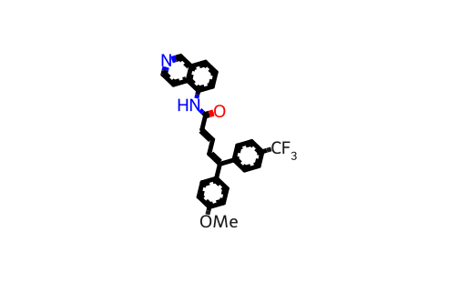 COc1ccc(C(=CC=CC(=O)Nc2cccc3cnccc23)c2ccc(C(F)(F)F)cc2)cc1